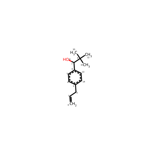 C=CCc1ccc(C(O)C(C)(C)C)cc1